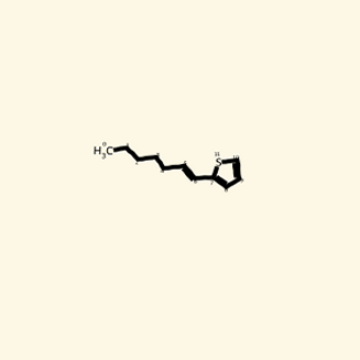 CCCCCC=Cc1cccs1